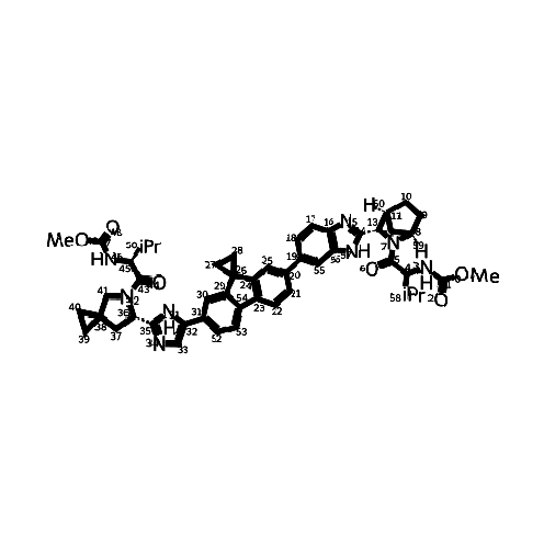 COC(=O)NC(C(=O)N1[C@@H]2CC[C@@H](C2)[C@H]1c1nc2ccc(-c3ccc4c(c3)C3(CC3)c3cc(-c5cnc([C@@H]6CC7(CC7)CN6C(=O)[C@@H](NC(=O)OC)C(C)C)[nH]5)ccc3-4)cc2[nH]1)C(C)C